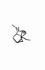 CC1C=C2C3CC(C1)CC3N2C